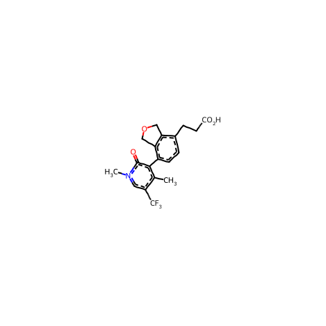 Cc1c(C(F)(F)F)cn(C)c(=O)c1-c1ccc(CCC(=O)O)c2c1COC2